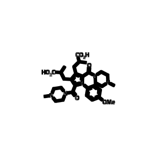 COc1ccc(-n2c(C(=O)N3CCN(C)CC3)c(CC(C)C(=O)O)c(CC(C)C(=O)O)c2C(=O)N2CCN(C)CC2)cc1